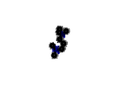 c1ccc(-c2nc(-c3ccccc3)nc(-c3cccc(-c4cccc(-c5cccc(-c6nn(-c7ccccc7)c7c6ccc6ccccc67)c5)c4)c3)n2)cc1